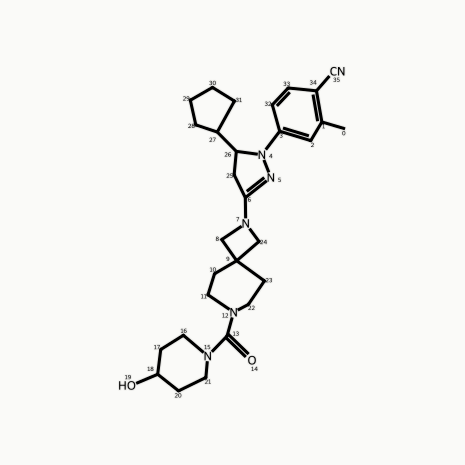 Cc1cc(N2N=C(N3CC4(CCN(C(=O)N5CCC(O)CC5)CC4)C3)CC2C2CCCC2)ccc1C#N